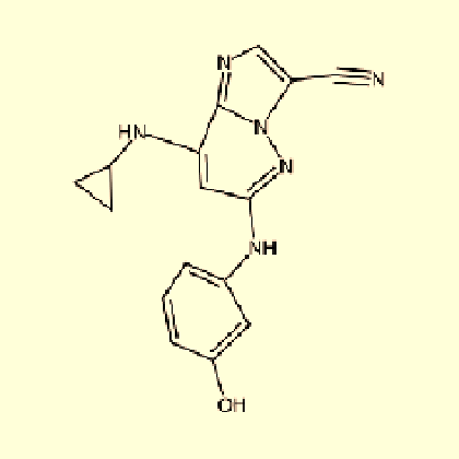 N#Cc1cnc2c(NC3CC3)cc(Nc3cccc(O)c3)nn12